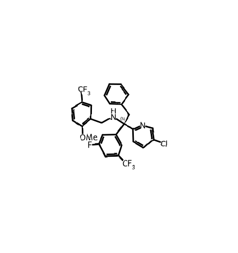 COc1ccc(C(F)(F)F)cc1CN[C@@](Cc1ccccc1)(c1cc(F)cc(C(F)(F)F)c1)c1ccc(Cl)cn1